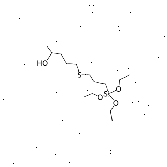 CCO[Si](CCCSCCCC(C)O)(OCC)OCC